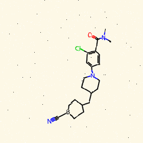 CN(C)C(=O)c1ccc(N2CCC(CC3CCB(C#N)CC3)CC2)cc1Cl